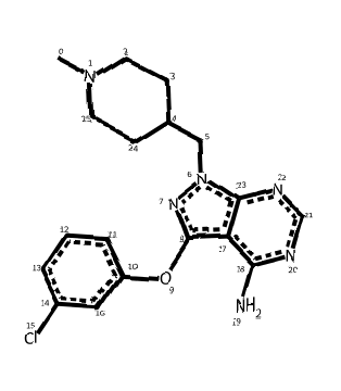 CN1CCC(Cn2nc(Oc3cccc(Cl)c3)c3c(N)ncnc32)CC1